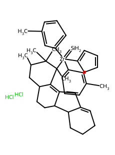 Cc1ccc[c]([Zr](=[SiH2])([C]2=CC=CC2)([c]2cccc(C)c2)[C]2(C)C3=C4CC5=CCCCC5C4CCC3CC(C)C2(C)C)c1.Cl.Cl